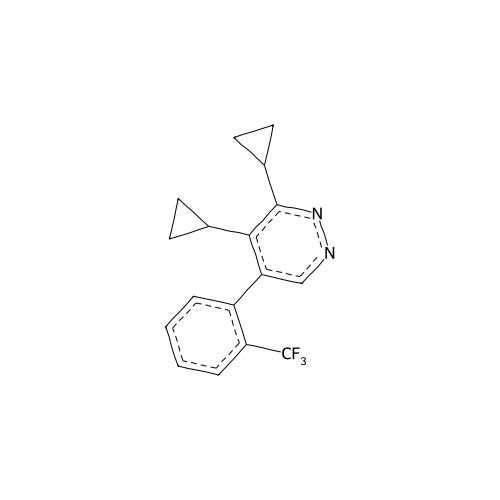 FC(F)(F)c1ccccc1-c1cnnc(C2CC2)c1C1CC1